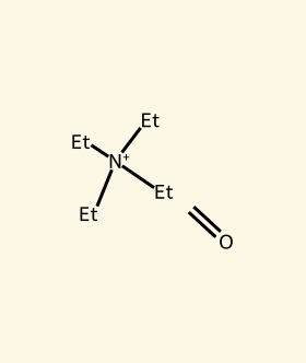 C=O.CC[N+](CC)(CC)CC